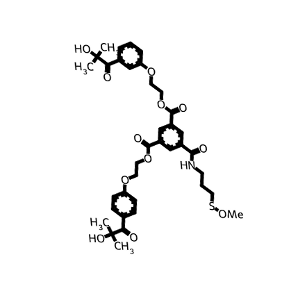 COSCCCNC(=O)c1cc(C(=O)OCCOc2ccc(C(=O)C(C)(C)O)cc2)cc(C(=O)OCCOc2cccc(C(=O)C(C)(C)O)c2)c1